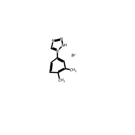 Cc1ccc(-[n+]2cnn[nH]2)cc1C.[Br-]